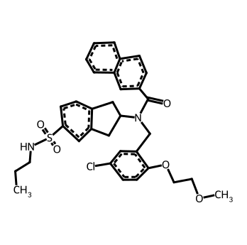 CCCNS(=O)(=O)c1ccc2c(c1)CC(N(Cc1cc(Cl)ccc1OCCOC)C(=O)c1ccc3ccccc3c1)C2